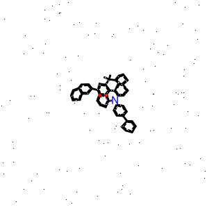 CC1(C)c2cc(-c3ccc4ccccc4c3)ccc2-c2c(N(c3ccccc3)c3ccc(-c4ccccc4)cc3)ccc3cccc1c23